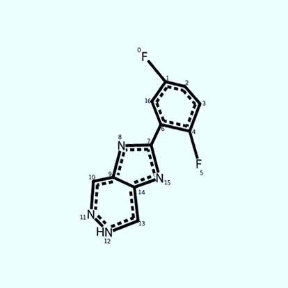 Fc1ccc(F)c(-c2nc3cn[nH]cc-3n2)c1